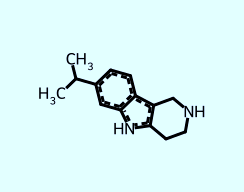 CC(C)c1ccc2c3c([nH]c2c1)CCNC3